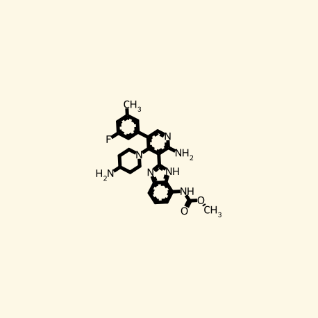 COC(=O)Nc1cccc2nc(-c3c(N)ncc(-c4cc(C)cc(F)c4)c3N3CCC(N)CC3)[nH]c12